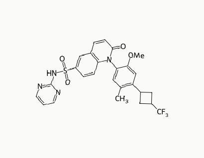 COc1cc(C2CC(C(F)(F)F)C2)c(C)cc1-n1c(=O)ccc2cc(S(=O)(=O)Nc3ncccn3)ccc21